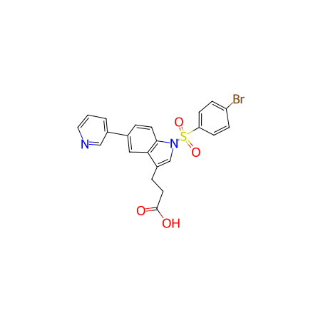 O=C(O)CCc1cn(S(=O)(=O)c2ccc(Br)cc2)c2ccc(-c3cccnc3)cc12